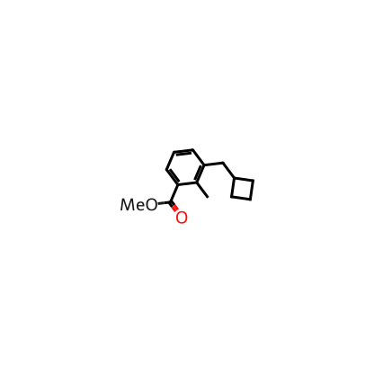 COC(=O)c1cccc(CC2CCC2)c1C